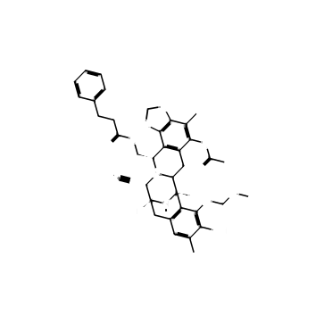 COCOc1c(O)c(C)cc2c1[C@H]1C3Cc4c(OC(C)=O)c(C)c5c(c4[C@H](COC(=O)CCc4ccccc4)N3[C@@H](C#N)[C@@H](C2)N1C)OCO5